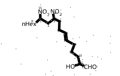 CCCCCCC(CC(CC/C=C/CCCC(O)[C]=O)[N+](=O)[O-])[N+](=O)[O-]